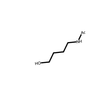 [CH2]C(=O)NCCCCO